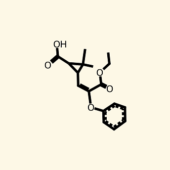 CCOC(=O)/C(=C\C1C(C(=O)O)C1(C)C)Oc1ccccc1